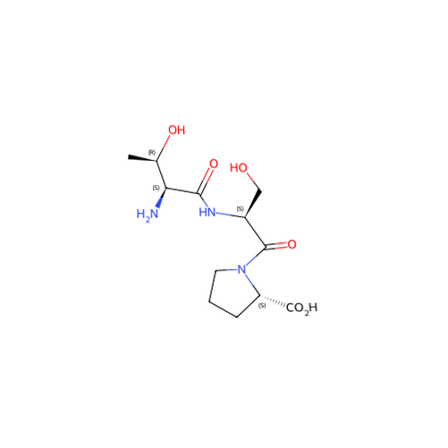 C[C@@H](O)[C@H](N)C(=O)N[C@@H](CO)C(=O)N1CCC[C@H]1C(=O)O